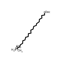 CCCCCCCCCCCCCCCCCCCCCCCCCCCC[CH][Si](C)(C)C